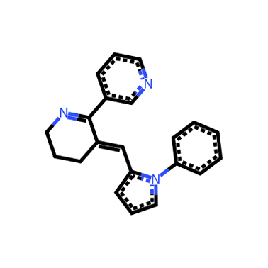 C(=C1CCCN=C1c1cccnc1)c1cccn1-c1ccccc1